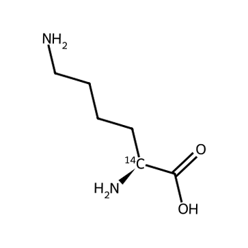 NCCCC[14C@H](N)C(=O)O